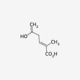 C=C(O)CC=C(C)C(=O)O